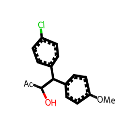 COc1ccc(C(c2ccc(Cl)cc2)C(O)C(C)=O)cc1